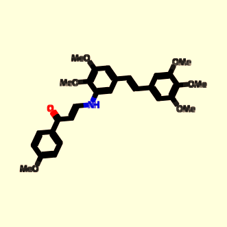 COc1ccc(C(=O)C=CNc2cc(C=Cc3cc(OC)c(OC)c(OC)c3)cc(OC)c2OC)cc1